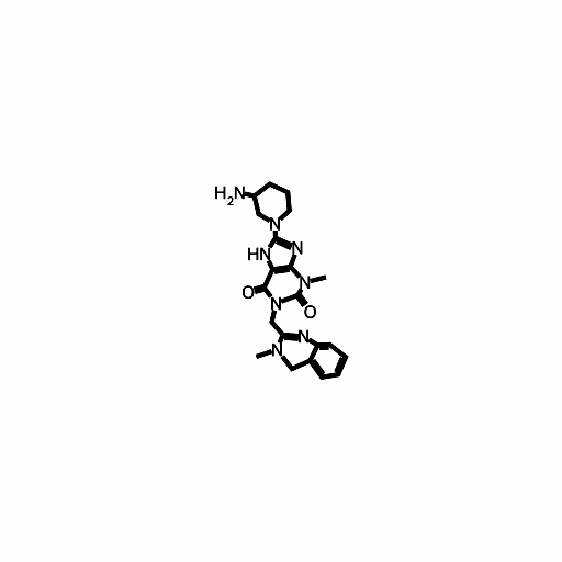 CN1Cc2ccccc2N=C1Cn1c(=O)c2[nH]c(N3CCCC(N)C3)nc2n(C)c1=O